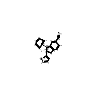 C[C@@]1(c2ccn[nH]2)Cc2ccc(C#N)cc2[C@@H]1c1ccccc1